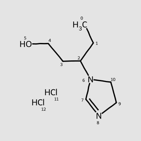 CCC(CCO)N1C=NCC1.Cl.Cl